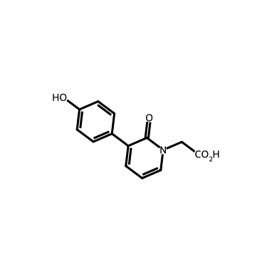 O=C(O)Cn1cccc(-c2ccc(O)cc2)c1=O